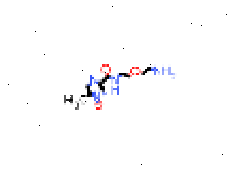 Cc1cnc(C(=O)NCCOCCN)c[n+]1[O-]